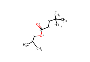 CC(C)COC(=O)CCC(C)(C)C